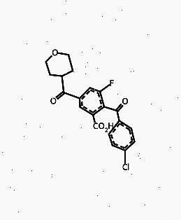 O=C(O)c1cc(C(=O)C2CCOCC2)cc(F)c1C(=O)c1ccc(Cl)cc1